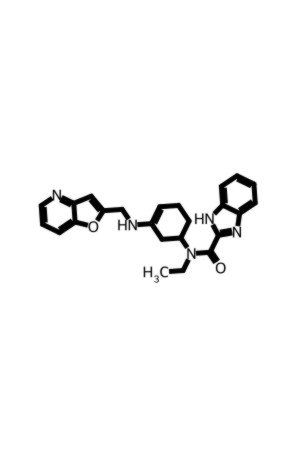 CCN(C(=O)c1nc2ccccc2[nH]1)C1CCC=C(NCc2cc3ncccc3o2)C1